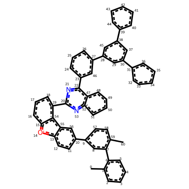 Cc1ccccc1-c1cc(-c2ccc3oc4cccc(-c5nc(-c6cccc(-c7cc(-c8ccccc8)cc(-c8ccccc8)c7)c6)c6ccccc6n5)c4c3c2)ccc1C